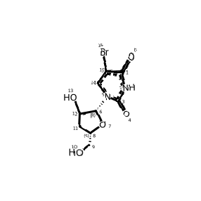 O=c1[nH]c(=O)n([C@@H]2O[C@H](CO)CC2O)cc1Br